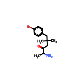 CC(N)C(=O)CC(C)(C)Cc1ccc(Br)cc1